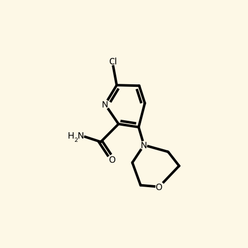 NC(=O)c1nc(Cl)ccc1N1CCOCC1